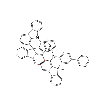 CC1(C)c2ccccc2-c2cccc(N(c3ccc(-c4ccccc4)cc3)c3ccccc3-c3cccc4c3C3(c5ccccc5-4)c4ccccc4-n4c5ccccc5c5cccc3c54)c21